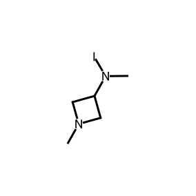 CN1CC(N(C)I)C1